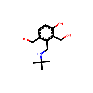 CC(C)(C)NCc1c(CO)ccc(O)c1CO